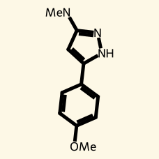 CNc1cc(-c2ccc(OC)cc2)[nH]n1